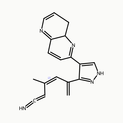 C=C(/C=C(/C)C=C=N)c1n[nH]cc1C1=NC2CC=CN=C2C=C1